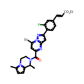 CCOC(=O)/C=C/c1ccc(-c2cc3nc(C(=O)N4CCn5c(C)ccc5C4C)cc(CC)n3n2)c(F)c1